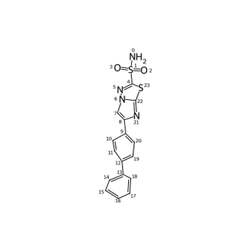 NS(=O)(=O)c1nn2cc(-c3ccc(-c4ccccc4)cc3)nc2s1